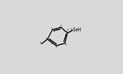 Cc1ccc([SeH])cc1